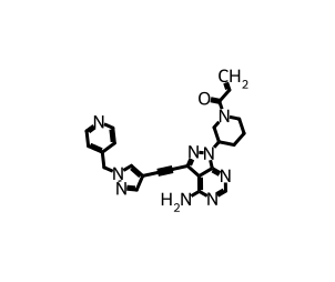 C=CC(=O)N1CCCC(n2nc(C#Cc3cnn(Cc4ccncc4)c3)c3c(N)ncnc32)C1